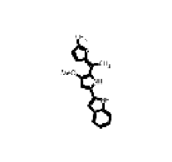 COc1cc(-c2cc3ccccc3[nH]2)[nH]c1C(C)=C1C=CC(C)=N1